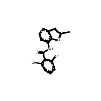 CC1Cc2cccc(NC(=O)c3c(Cl)cccc3Cl)c2O1